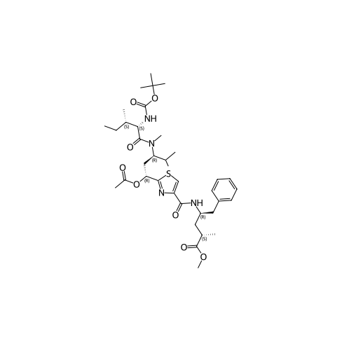 CC[C@H](C)[C@H](NC(=O)OC(C)(C)C)C(=O)N(C)[C@H](C[C@@H](OC(C)=O)c1nc(C(=O)N[C@@H](Cc2ccccc2)C[C@H](C)C(=O)OC)cs1)C(C)C